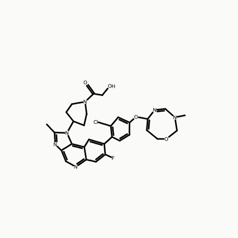 Cc1nc2cnc3cc(F)c(-c4ccc(OC5=C/COCN(C)/C=N\5)cc4Cl)cc3c2n1C1CCN(C(=O)CO)CC1